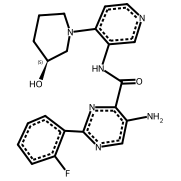 Nc1cnc(-c2ccccc2F)nc1C(=O)Nc1cnccc1N1CCC[C@H](O)C1